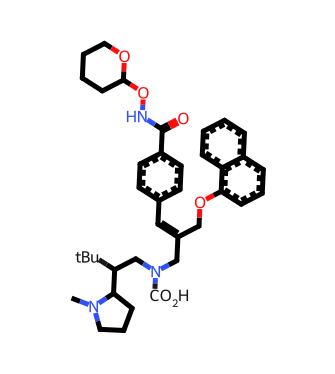 CN1CCCC1C(CN(CC(=Cc1ccc(C(=O)NOC2CCCCO2)cc1)COc1cccc2ccccc12)C(=O)O)C(C)(C)C